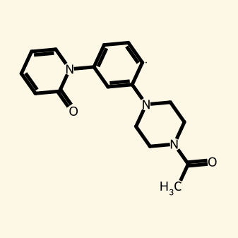 CC(=O)N1CCN(c2[c]ccc(-n3ccccc3=O)c2)CC1